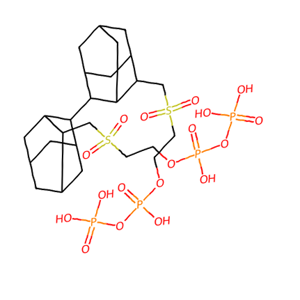 O=P(O)(O)OP(=O)(O)OCCS(=O)(=O)CC1C2CC3CC(C2)C(C2C4CC5CC(C4)C(CS(=O)(=O)CCOP(=O)(O)OP(=O)(O)O)C2C5)C1C3